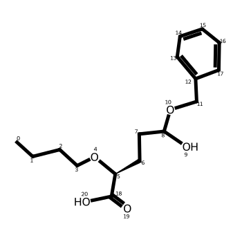 CCCCO[C@@H](CCC(O)OCc1ccccc1)C(=O)O